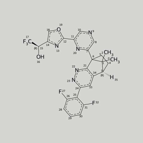 CC1(C)[C@H]2CCC1(c1cncc(-c3nc([C@@H](O)C(F)(F)F)co3)n1)c1nnc(-c3c(F)cccc3F)cc12